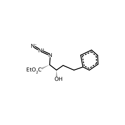 CCOC(=O)[C@H](N=[N+]=[N-])[C@@H](O)CCc1ccccc1